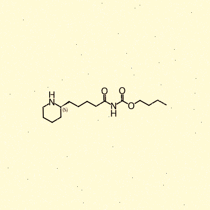 CCCCOC(=O)NC(=O)CCCC[C@H]1CCCCN1